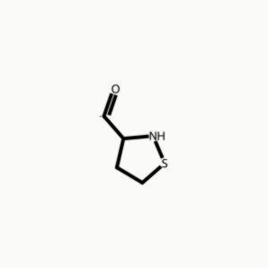 O=[C]C1CCSN1